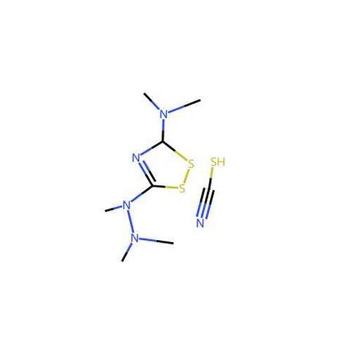 CN(C)C1N=C(N(C)N(C)C)SS1.N#CS